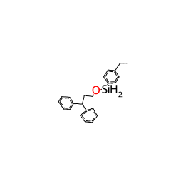 CCc1ccc([SiH2]OCCC(c2ccccc2)c2ccccc2)cc1